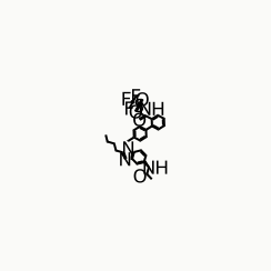 CCCCc1nc2cc(NC(C)=O)ccc2n1Cc1ccc(-c2ccccc2C(=O)NS(=O)(=O)C(F)(F)F)cc1